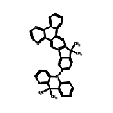 CC1(C)c2ccc(N3c4ccccc4C(C)(C)c4ccccc43)cc2-c2cc3c(cc21)c1ccccc1c1nccnc31